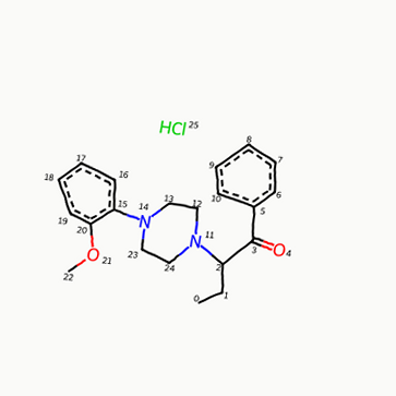 CCC(C(=O)c1ccccc1)N1CCN(c2ccccc2OC)CC1.Cl